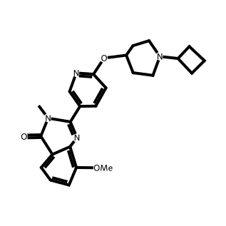 COc1cccc2c(=O)n(C)c(-c3ccc(OC4CCN(C5CCC5)CC4)nc3)nc12